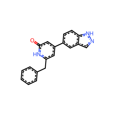 O=c1cc(-c2ccc3[nH]ncc3c2)cc(Cc2ccccc2)[nH]1